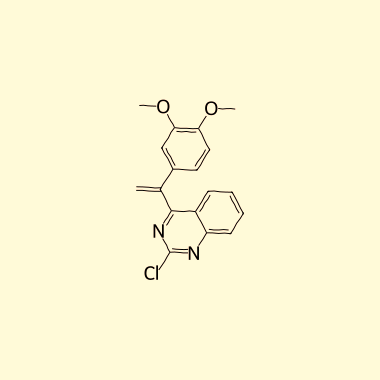 C=C(c1ccc(OC)c(OC)c1)c1nc(Cl)nc2ccccc12